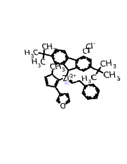 CC1C=CC(c2ccoc2)=[C]1/[Zr+2](=[CH]/Cc1ccccc1)[CH]1c2cc(C(C)(C)C)ccc2-c2ccc(C(C)(C)C)cc21.[Cl-].[Cl-]